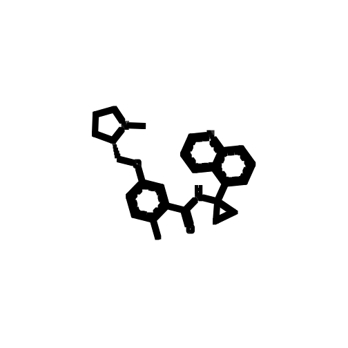 Cc1ccc(OC[C@@H]2CCCN2C)cc1C(=O)NC1(c2cccc3ncccc23)CC1